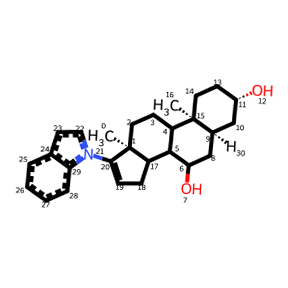 C[C@]12CCC3C(C(O)C[C@@H]4C[C@@H](O)CC[C@]34C)C1CC=C2n1ccc2ccccc21